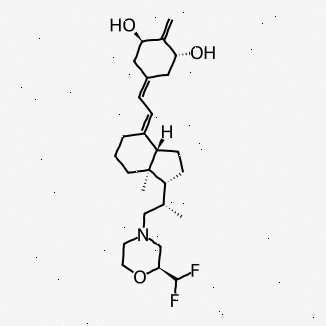 C=C1[C@H](O)CC(=C/C=C2\CCC[C@]3(C)[C@@H]([C@H](C)CN4CCO[C@H](C(F)F)C4)CC[C@@H]23)C[C@H]1O